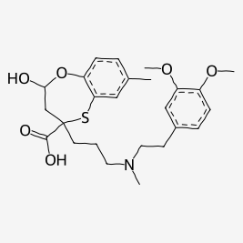 COc1ccc(CCN(C)CCCC2(C(=O)O)CC(O)Oc3ccc(C)cc3S2)cc1OC